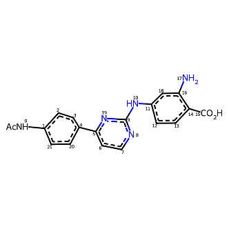 CC(=O)Nc1ccc(-c2ccnc(Nc3ccc(C(=O)O)c(N)c3)n2)cc1